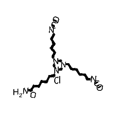 NC(=O)CCCCCC(Cl)N1CN(CCCCCCN=C=O)CN(CCCCCCN=C=O)C1